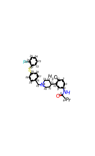 Cc1ccc(NC(=O)C(C)C)cc1C1CCN(Cc2ccc(Sc3ccccc3F)cc2)CC1